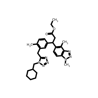 CCOC(=O)CC(c1ccc(C)c(Cc2nnnn2CC2CCCCC2)c1)c1ccc2c(nnn2C)c1C